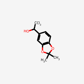 CC1(C)Oc2ccc(C(O)C(Cl)(Cl)Cl)cc2O1